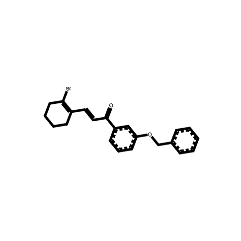 O=C(/C=C/C1=C(Br)CCCC1)c1cccc(OCc2ccccc2)c1